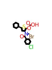 CN(C(=O)c1ccc(Cl)cc1Br)c1cc(-c2ccccc2)sc1OC(=O)O